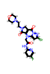 O=C(Cn1c2c(c(=O)n3nc(Br)cc13)CN(CCN1CCOCC1)C2=O)Nc1ccc(F)cn1